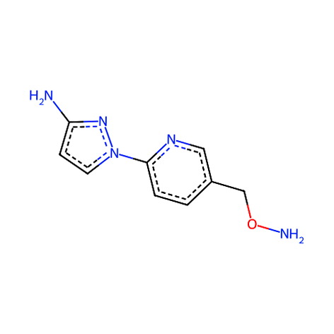 NOCc1ccc(-n2ccc(N)n2)nc1